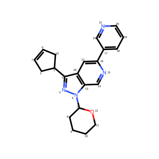 C1=CCC(c2nn(C3CCCCO3)c3cnc(-c4cccnc4)cc23)C1